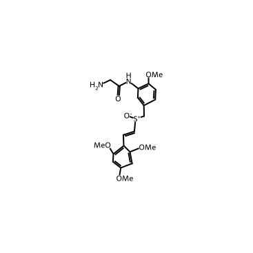 COc1cc(OC)c(/C=C/[S+]([O-])Cc2ccc(OC)c(NC(=O)CN)c2)c(OC)c1